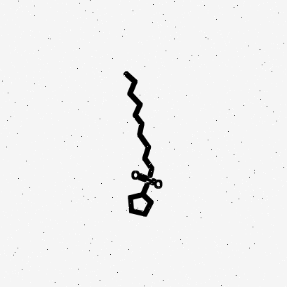 CCCCCCCCCCS(=O)(=O)C1CCCC1